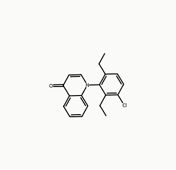 CCc1ccc(Cl)c(CC)c1-n1ccc(=O)c2ccccc21